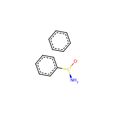 N[S@+]([O-])c1ccccc1.c1ccccc1